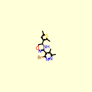 Cc1cc(C2CON=C(c3c(Br)nnc(C)c3C)N2)c(C)s1